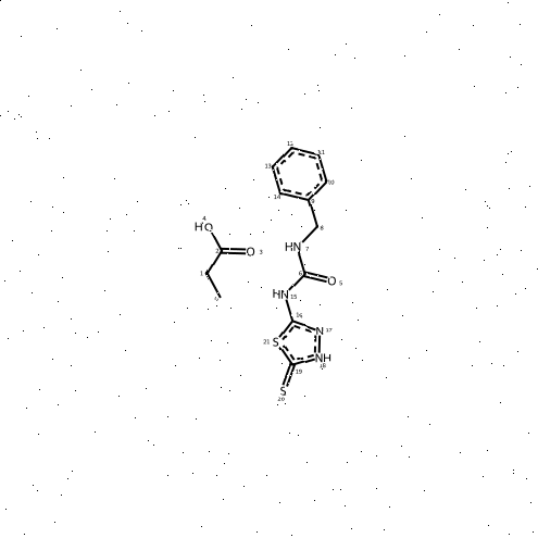 CCC(=O)O.O=C(NCc1ccccc1)Nc1n[nH]c(=S)s1